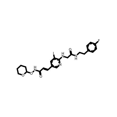 O=C(/C=C/c1cnc(NCC(=O)NCCc2ccc(F)cc2)c(I)c1)NOC1CCCCO1